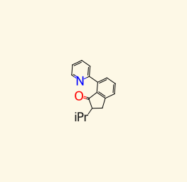 CC(C)C1Cc2cccc(-c3ccccn3)c2C1=O